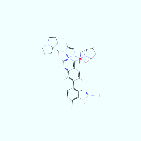 Nc1nc2c(-c3c(Cl)cc4c(N5CC6CCC(C5)N6C(=O)n5cnc(F)c5)nc(OC[C@@]56CCCN5C[C@H](F)C6)nc4c3F)ccc(F)c2s1